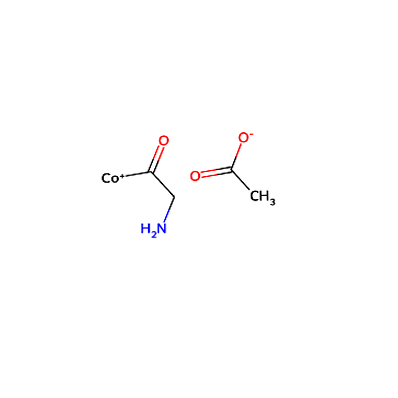 CC(=O)[O-].NC[C](=O)[Co+]